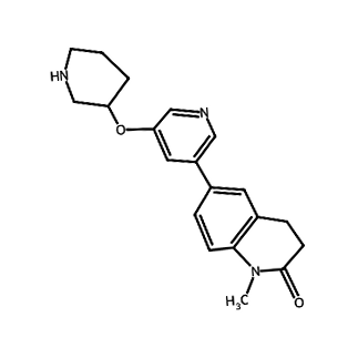 CN1C(=O)CCc2cc(-c3cncc(OC4CCCNC4)c3)ccc21